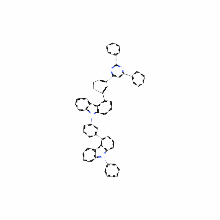 C1=C(c2cc(-c3ccccc3)nc(-c3ccccc3)n2)C=C(c2cccc3c2c2ccccc2n3-c2cccc(-c3cccc4c3c3ccccc3n4-c3ccccc3)c2)CC1